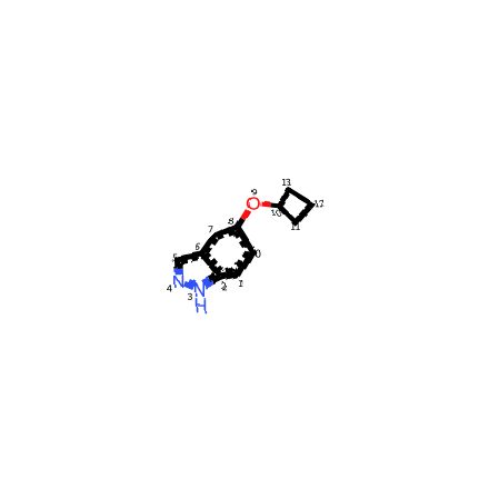 c1cc2[nH]ncc2cc1OC1CCC1